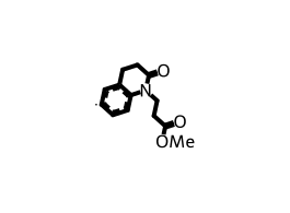 COC(=O)CCN1C(=O)CCc2c[c]ccc21